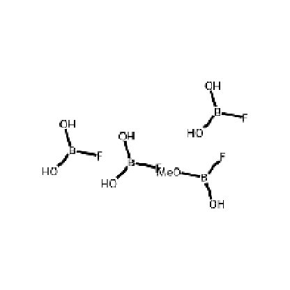 COB(O)F.OB(O)F.OB(O)F.OB(O)F